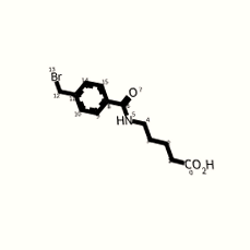 O=C(O)CCCCNC(=O)c1ccc(CBr)cc1